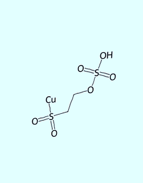 O=[S](=O)([Cu])CCOS(=O)(=O)O